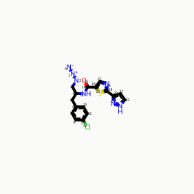 [N-]=[N+]=NCC(Cc1ccc(Cl)cc1)NC(=O)c1cnc(-c2cc[nH]n2)s1